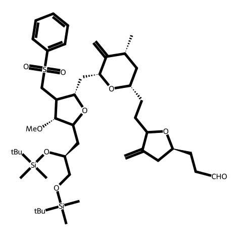 C=C1C[C@H](CCC=O)OC1CC[C@H]1C[C@@H](C)C(=C)[C@@H](C[C@@H]2OC(C[C@@H](CO[Si](C)(C)C(C)(C)C)O[Si](C)(C)C(C)(C)C)[C@H](OC)C2CS(=O)(=O)c2ccccc2)O1